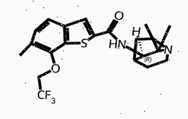 Cc1ccc2cc(C(=O)N[C@@H]3C4CCN(CC4)C3(C)C)sc2c1OCC(F)(F)F